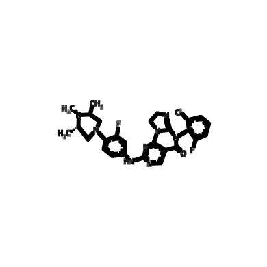 CC1CN(c2ccc(Nc3ncc4c(n3)N3CCN=C3N(c3c(F)cccc3Cl)C4=O)cc2F)C[C@H](C)N1C